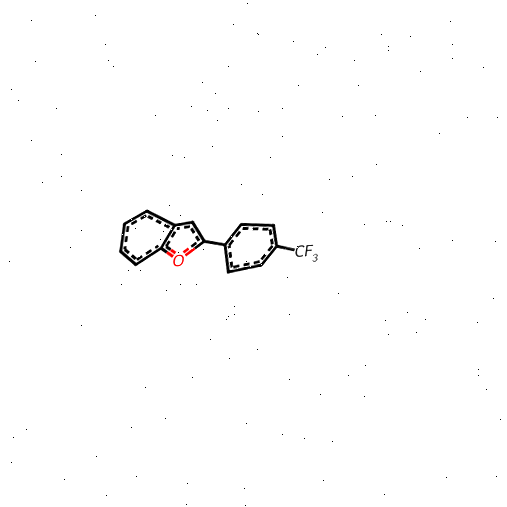 FC(F)(F)c1ccc(-c2cc3ccccc3o2)cc1